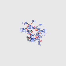 CSCC[C@H](NC(=O)[C@H](CCCCN)NC(=O)[C@H](CCCCN)NC(=O)[C@H](CCCNC(=N)N)NC(=O)[C@H](CC(C)C)NC(=O)CNC(=O)[C@H](CCCCN)NC(=O)[C@H](CC(C)C)NC(=O)[C@H](C)N)C(=O)N[C@@H](CCCCN)C(=O)N[C@@H](CCCNC(=N)N)C(=O)N[C@@H](CC(C)C)C(=O)N[C@@H](CCCCN)C(=O)N[C@@H](CCC(N)=O)C(=O)N[C@@H](CCCNC(=N)N)C(=O)N[C@@H](CC(C)C)C(=O)O